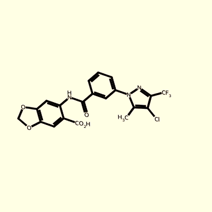 Cc1c(Cl)c(C(F)(F)F)nn1-c1cccc(C(=O)Nc2cc3c(cc2C(=O)O)OCO3)c1